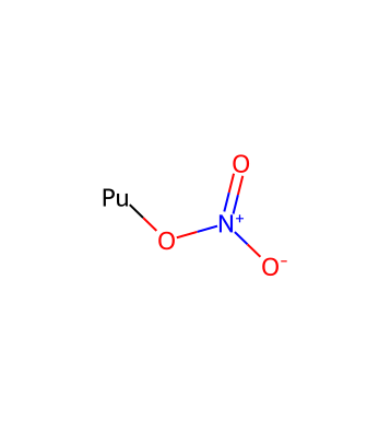 O=[N+]([O-])[O][Pu]